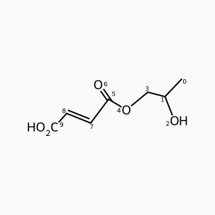 CC(O)COC(=O)/C=C/C(=O)O